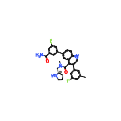 Cc1cc(F)cc(-c2cnc3ccc(-c4cc(F)cc(C(N)=O)c4)cc3c2C(=O)N(C)C[C@@H]2CCCN2)c1